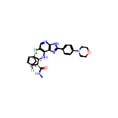 CNC(=O)[C@@H]1[C@H](Nc2c(Cl)cnc3[nH]c(-c4ccc(N5CCOCC5)cc4)nc23)[C@H]2C=C[C@@H]1C2